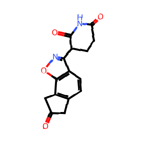 O=C1Cc2ccc3c(C4CCC(=O)NC4=O)noc3c2C1